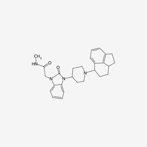 CNC(=O)Cn1c(=O)n(C2CCN(C3CCC4CCc5cccc3c54)CC2)c2ccccc21